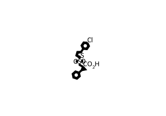 O=C(O)C1(CS(=O)(=O)c2ccc(-c3ccc(Cl)cc3)s2)CC1c1ccccc1